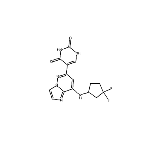 O=c1[nH]cc(-c2cc(NC3CCC(F)(F)C3)c3nccn3n2)c(=O)[nH]1